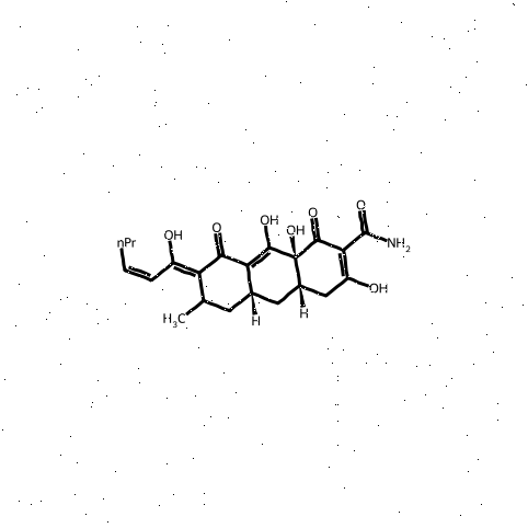 CCC/C=C\C(O)=C1\C(=O)C2=C(O)[C@]3(O)C(=O)C(C(N)=O)=C(O)C[C@@H]3C[C@@H]2CC1C